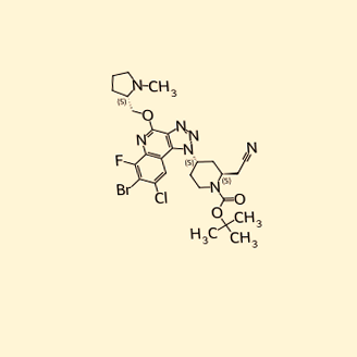 CN1CCC[C@H]1COc1nc2c(F)c(Br)c(Cl)cc2c2c1nnn2[C@H]1CCN(C(=O)OC(C)(C)C)[C@H](CC#N)C1